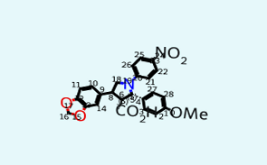 COc1ccc([C@@H]2[C@@H](C(=O)O)C(c3ccc4c(c3)OCO4)CN2c2ccc([N+](=O)[O-])cc2)cc1